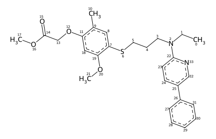 CCN(CCCSc1cc(C)c(OCC(=O)OC)cc1OC)c1ccc(-c2ccccc2)cn1